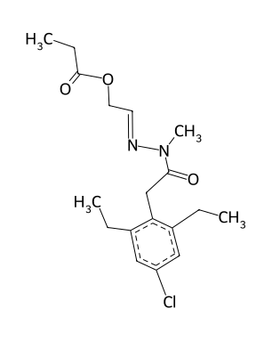 CCC(=O)OCC=NN(C)C(=O)Cc1c(CC)cc(Cl)cc1CC